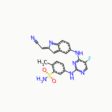 Cc1ccc(Nc2ncc(F)c(Nc3ccc4c(c3)=CC(=CC#N)N=4)n2)cc1S(N)(=O)=O